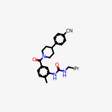 Cc1ccc(C(=O)N2CCC(c3ccc(C#N)cc3)CC2)cc1NC(=O)NCC(C)C